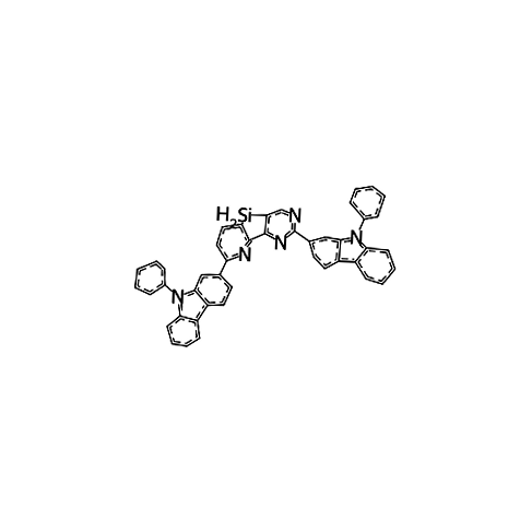 c1ccc(-n2c3ccccc3c3ccc(-c4ccc5c(n4)-c4nc(-c6ccc7c8ccccc8n(-c8ccccc8)c7c6)ncc4[SiH2]5)cc32)cc1